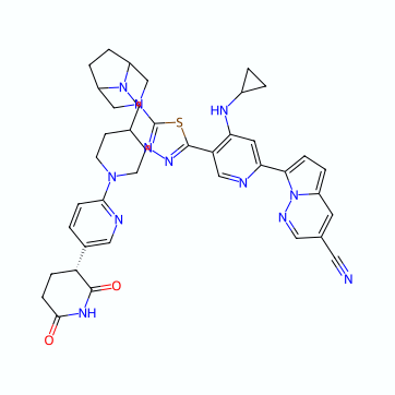 N#Cc1cnn2c(-c3cc(NC4CC4)c(-c4nnc(N5CC6CCC(C5)N6CC5CCN(c6ccc([C@H]7CCC(=O)NC7=O)cn6)CC5)s4)cn3)ccc2c1